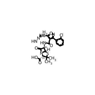 Cc1onc(-c2ccccc2Cl)c1C(=O)N[C@@H]1C(=O)N2[C@@H]1SC(C)(C)[C@@H]2C(=O)O.N=[N+]=N